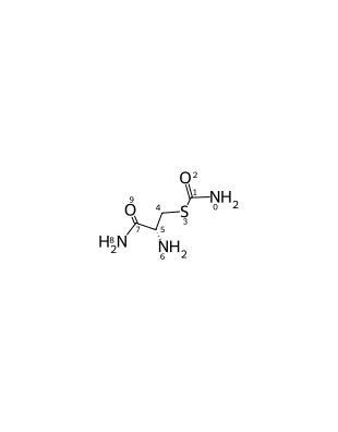 NC(=O)SC[C@H](N)C(N)=O